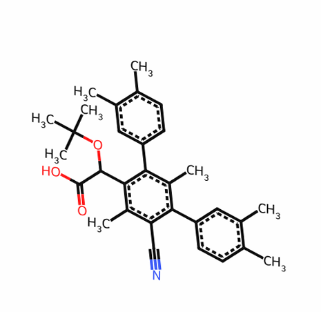 Cc1ccc(-c2c(C)c(-c3ccc(C)c(C)c3)c(C(OC(C)(C)C)C(=O)O)c(C)c2C#N)cc1C